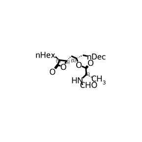 CCCCCCCCCCC[C@@H](C[C@@H]1OC(=O)[C@H]1CCCCCC)OC(=O)[C@H](C)NC=O